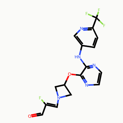 O=CC(F)=CN1CC(Oc2nccnc2Nc2ccc(C(F)(F)F)nc2)C1